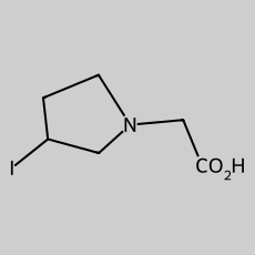 O=C(O)CN1CCC(I)C1